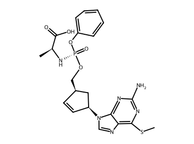 CSc1nc(N)nc2c1ncn2[C@H]1C=C[C@@H](CO[P@@](=O)(N[C@@H](C)C(=O)O)Oc2ccccc2)C1